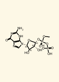 COP(=O)(O[C@H]1O[C@@H](n2cnc3c(=O)nc(N)[nH]c32)[C@H](O)[C@H]1O)OP(=O)(O)O